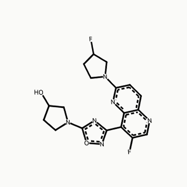 OC1CCN(c2nc(-c3c(F)cnc4ccc(N5CCC(F)C5)nc34)no2)C1